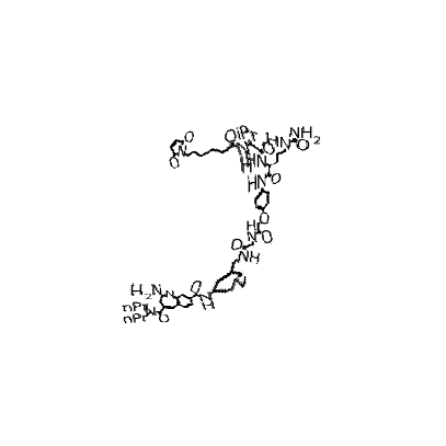 CCCN(CCC)C(=O)C1=Cc2ccc(C(=O)Nc3cncc(CNC(=O)CNC(=O)COc4ccc(NC(=O)[C@H](CCCNC(N)=O)NC(=O)C(NC(=O)CCCCCN5C(=O)C=CC5=O)C(C)C)cc4)c3)cc2N=C(N)C1